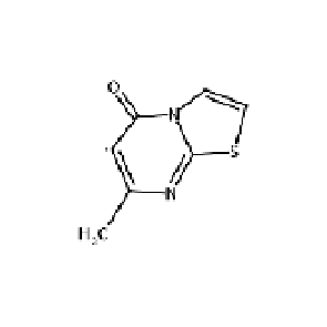 Cc1[c]c(=O)n2ccsc2n1